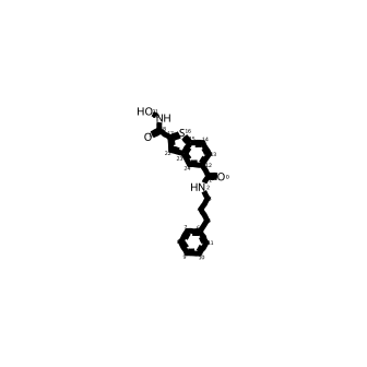 O=C(NCCCc1ccccc1)c1ccc2sc(C(=O)NO)cc2c1